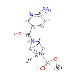 CC(C)(C)OC(=O)N1CC2C[C@@H]1CN2C(=O)c1ccc(N)nc1